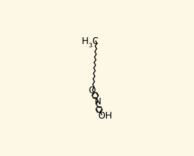 CCCCCCCCCCCCCCCCCCOc1ccc(/N=C/c2ccc(O)cc2)cc1